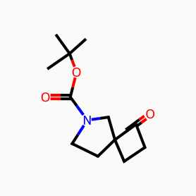 CC(C)(C)OC(=O)N1CCC2(CCC2=O)C1